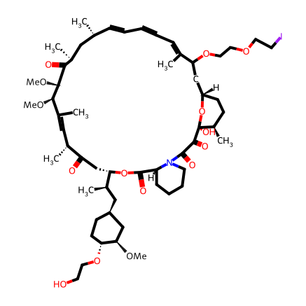 CO[C@@H]1/C(C)=C/[C@@H](C)C(=O)C[C@@H]([C@H](C)C[C@@H]2CC[C@@H](OCCO)[C@H](OC)C2)OC(=O)[C@@H]2CCCCN2C(=O)C(=O)[C@]2(O)O[C@@H](CC[C@H]2C)CC(OCCOCCI)/C(C)=C/C=C/C=C/[C@@H](C)C[C@@H](C)C(=O)[C@@H]1OC